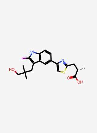 C[C@@H](Cc1nc(-c2ccc3[nH]c(I)c(CC(C)(C)CO)c3c2)cs1)C(=O)O